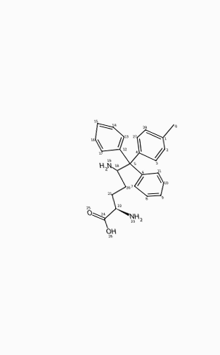 Cc1ccc(C(c2ccccc2)(c2ccccc2)C(N)CC[C@@H](N)C(=O)O)cc1